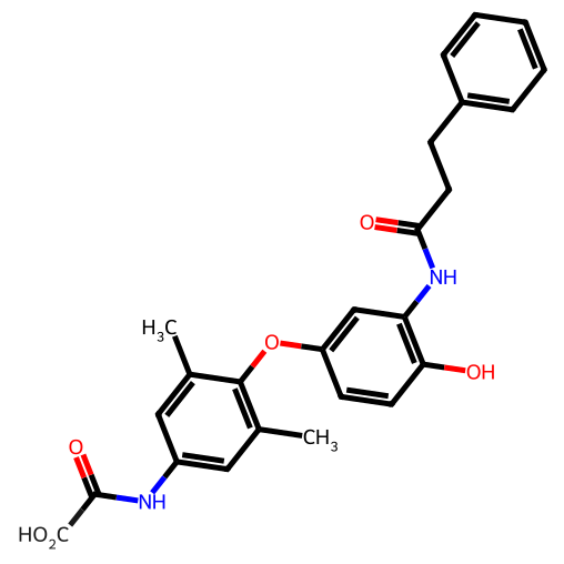 Cc1cc(NC(=O)C(=O)O)cc(C)c1Oc1ccc(O)c(NC(=O)CCc2ccccc2)c1